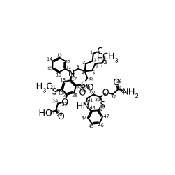 CCCCC1(CCCC)CN(c2ccccc2)c2cc(SC)c(OCC(=O)O)cc2S(=O)(=O)C1.NC(=O)COC1CCNc2ccccc2S1